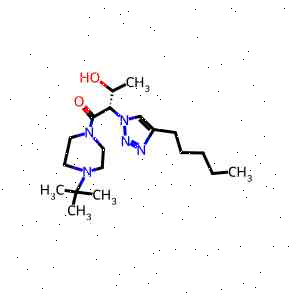 CCCCCc1cn([C@H](C(=O)N2CCN(C(C)(C)C)CC2)C(C)O)nn1